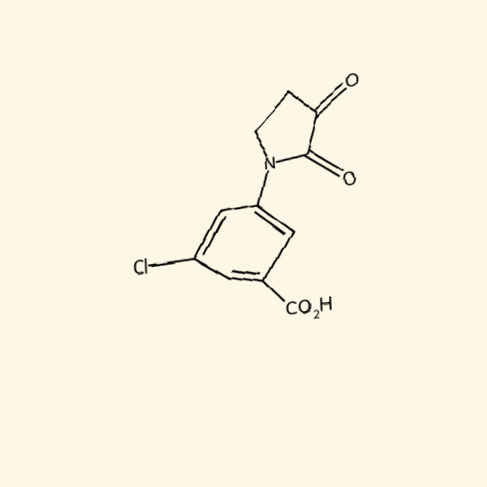 O=C1CCN(c2cc(Cl)cc(C(=O)O)c2)C1=O